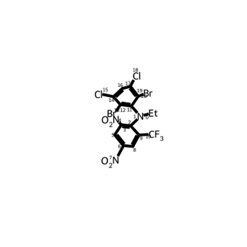 CCN(c1c([N+](=O)[O-])cc([N+](=O)[O-])cc1C(F)(F)F)c1c(Br)c(Cl)cc(Cl)c1Br